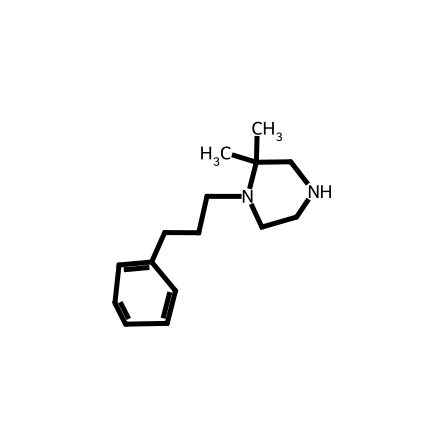 CC1(C)CNCCN1CCCc1ccccc1